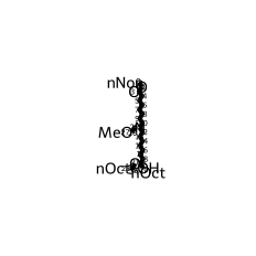 CCCCCCCCCOC(=O)CCCCCCCN(CCCCCCCC(O)OC(CCCCCCCC)CCCCCCCC)CCOC